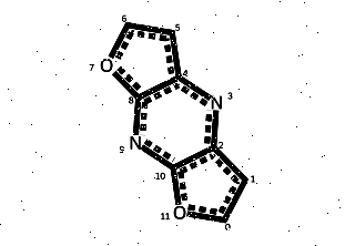 c1cc2nc3ccoc3nc2o1